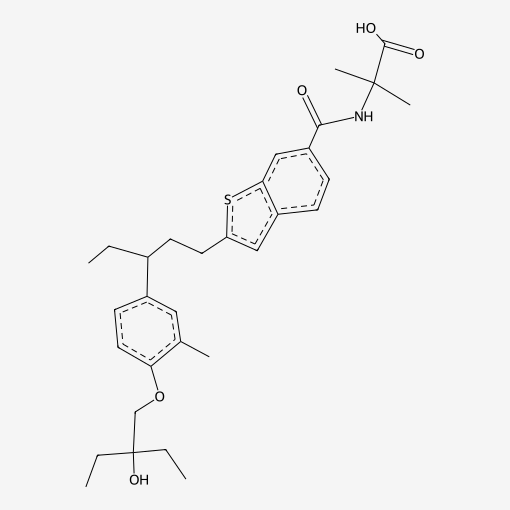 CCC(CCc1cc2ccc(C(=O)NC(C)(C)C(=O)O)cc2s1)c1ccc(OCC(O)(CC)CC)c(C)c1